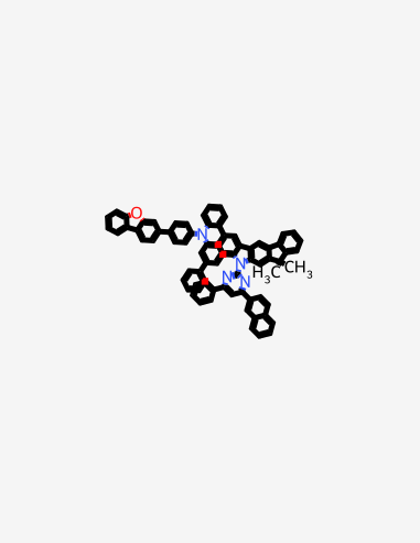 CC1(C)c2ccccc2-c2cc3c4cc(-c5ccccc5N(c5ccc(-c6ccc7c(c6)oc6ccccc67)cc5)c5cccc(-c6ccccc6)c5)ccc4n(-c4nc(-c5ccccc5)cc(-c5ccc6ccccc6c5)n4)c3cc21